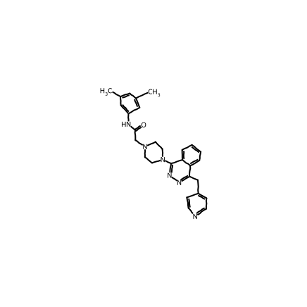 Cc1cc(C)cc(NC(=O)CN2CCN(c3nnc(Cc4ccncc4)c4ccccc34)CC2)c1